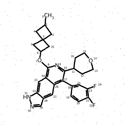 CC1CC2(C1)CC(Oc1nc(C3CCOCC3)c(-c3ccc(F)c(F)c3)c3cc4cn[nH]c4cc13)C2